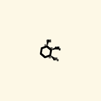 C[C@@H]1CCC[C@H](O)[C@@H]1N